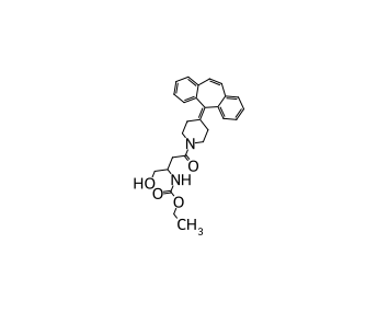 CCOC(=O)NC(CO)CC(=O)N1CCC(=C2c3ccccc3C=Cc3ccccc32)CC1